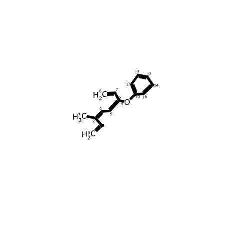 C=C/C(C)=C\C=C(/C=C)Oc1ccccc1